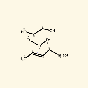 C/C=C/CCCCCCCC.CCOCC.OCCO